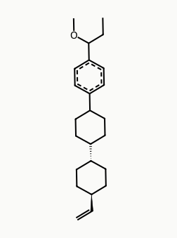 C=C[C@H]1CC[C@H](C2CCC(c3ccc(C(CC)OC)cc3)CC2)CC1